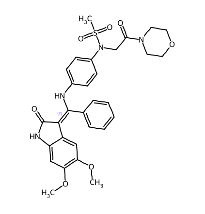 COc1cc2c(cc1OC)/C(=C(/Nc1ccc(N(CC(=O)N3CCOCC3)S(C)(=O)=O)cc1)c1ccccc1)C(=O)N2